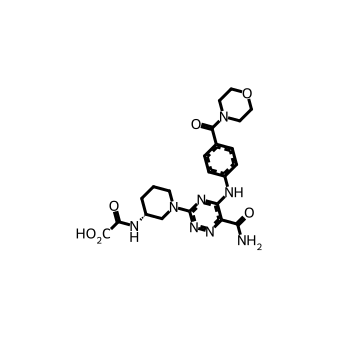 NC(=O)c1nnc(N2CCC[C@@H](NC(=O)C(=O)O)C2)nc1Nc1ccc(C(=O)N2CCOCC2)cc1